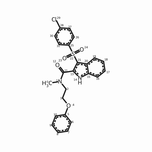 CN(CCOc1ccccc1)C(=O)c1[nH]c2ccccc2c1S(=O)(=O)c1ccc(Cl)cc1